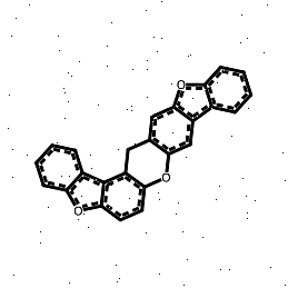 c1ccc2c(c1)oc1cc3c(cc12)Oc1ccc2oc4ccccc4c2c1C3